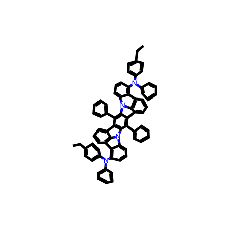 CCc1ccc(N(c2ccccc2)c2cccc3c2c2cccc4c5c(-c6ccccc6)c6c(c(-c7ccccc7)c5n3c24)c2cccc3c4c(N(c5ccccc5)c5ccc(CC)cc5)cccc4n6c32)cc1